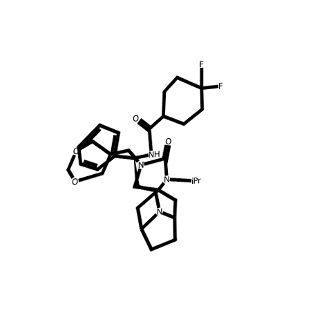 CC(C)N1C(=O)N(CC2COCOC2)CC12CC1CCC(C2)N1CC[C@H](NC(=O)C1CCC(F)(F)CC1)c1ccccc1